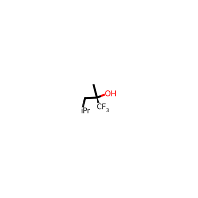 CC(C)C[C@](C)(O)C(F)(F)F